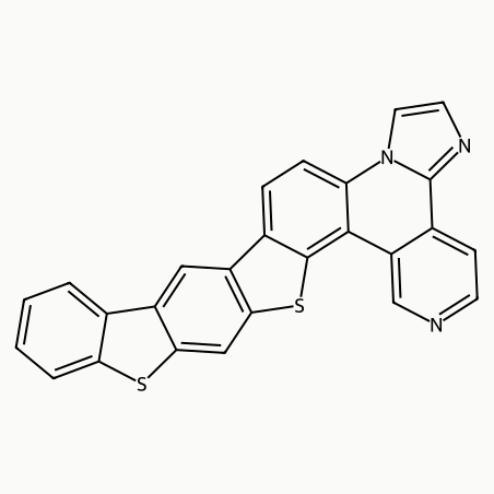 c1ccc2c(c1)sc1cc3sc4c(ccc5c4c4cnccc4c4nccn54)c3cc12